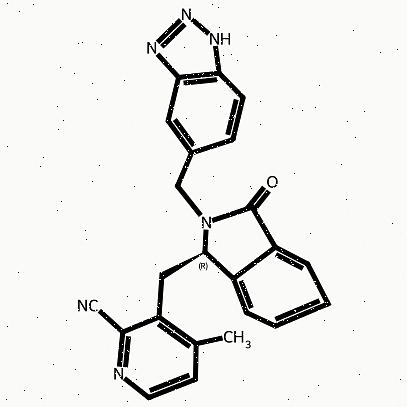 Cc1ccnc(C#N)c1C[C@@H]1c2ccccc2C(=O)N1Cc1ccc2[nH]nnc2c1